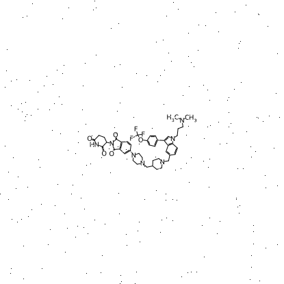 CN(C)CCCn1cc(-c2ccc(OC(F)(F)F)cc2)c2cc(CN3CCC(CN4CCN(c5ccc6c(c5)C(=O)N(C5CCC(=O)NC5=O)C6=O)CC4)CC3)ccc21